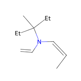 C=CN(/C=C\C)C(C)(CC)CC